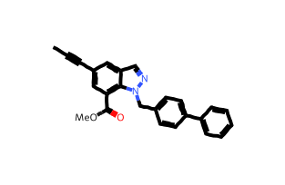 CC#Cc1cc(C(=O)OC)c2c(cnn2Cc2ccc(-c3ccccc3)cc2)c1